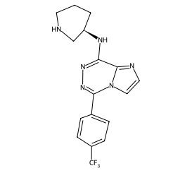 FC(F)(F)c1ccc(-c2nnc(N[C@@H]3CCCNC3)c3nccn23)cc1